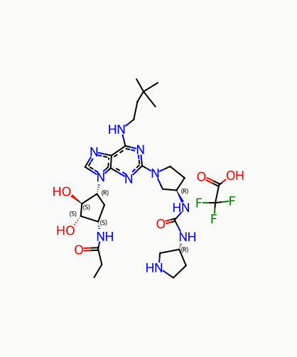 CCC(=O)N[C@H]1C[C@@H](n2cnc3c(NCCC(C)(C)C)nc(N4CC[C@@H](NC(=O)N[C@@H]5CCNC5)C4)nc32)[C@H](O)[C@H]1O.O=C(O)C(F)(F)F